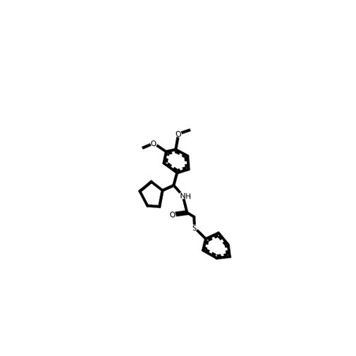 COc1ccc(C(NC(=O)CSc2ccccc2)C2CCCC2)cc1OC